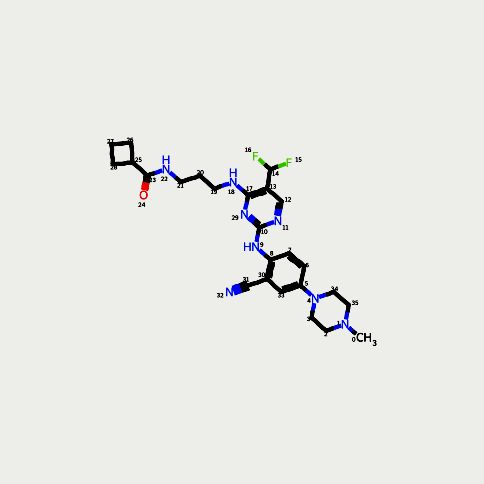 CN1CCN(c2ccc(Nc3ncc(C(F)F)c(NCCCNC(=O)C4CCC4)n3)c(C#N)c2)CC1